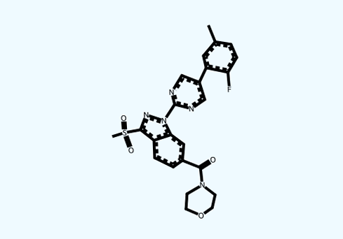 Cc1ccc(F)c(-c2cnc(-n3nc(S(C)(=O)=O)c4ccc(C(=O)N5CCOCC5)cc43)nc2)c1